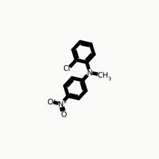 CN(c1ccc([N+](=O)[O-])cc1)c1ccccc1Cl